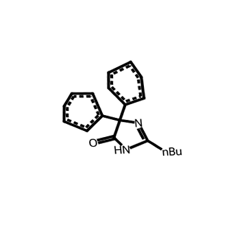 CCCCC1=NC(c2ccccc2)(c2ccccc2)C(=O)N1